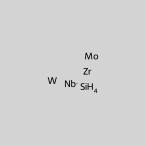 [Mo].[Nb].[SiH4].[W].[Zr]